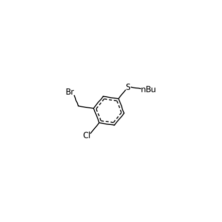 CCCCSc1ccc(Cl)c(CBr)c1